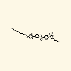 CCCCCCCCCCOc1cnc(-c2ccc(OC(=O)c3ccc(C(CCCCCC)C(F)(F)F)cc3)cc2)nc1